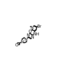 Cn1cc(Br)cc(Nc2cnc(N3CCN(C4COC4)CC3)cn2)c1=O